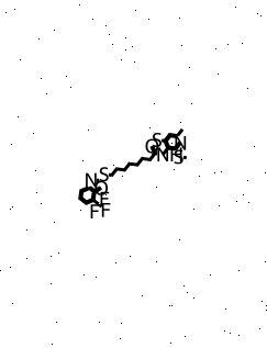 CSc1cc(C)nc(SC)c1NC(=O)CCCCCCCSc1nc2cccc(C(F)(F)F)c2o1